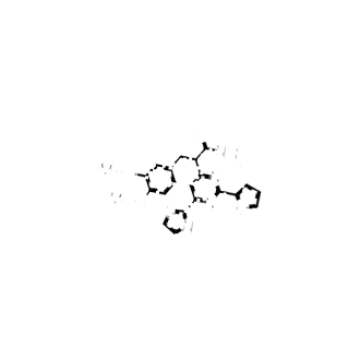 COc1ccc(CC(C(N)=O)c2cc(-c3nccs3)nc(-c3ccco3)n2)cc1OC